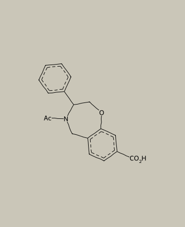 CC(=O)N1Cc2ccc(C(=O)O)cc2OCC1c1ccccc1